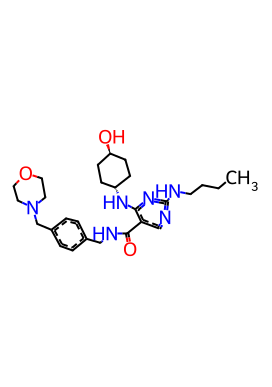 CCCCNc1ncc(C(=O)NCc2ccc(CN3CCOCC3)cc2)c(N[C@H]2CC[C@H](O)CC2)n1